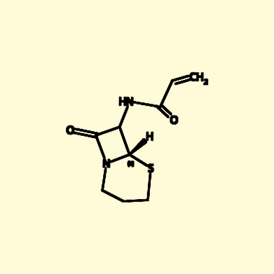 C=CC(=O)NC1C(=O)N2CCCS[C@@H]12